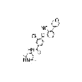 CC1(C)CC(NC(=O)c2ccc(Oc3cccc(C4=CCOCC4)c3C#N)c(Cl)c2)CC(C)(C)N1